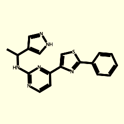 CC(Nc1nccc(-c2csc(-c3ccccc3)n2)n1)c1cn[nH]c1